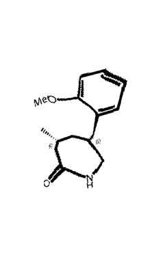 COc1ccccc1[C@H]1CNC(=O)[C@@H]1C